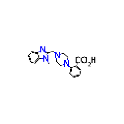 Cn1c(CN2CCN(c3ccccc3C(=O)O)CC2)nc2ccccc21